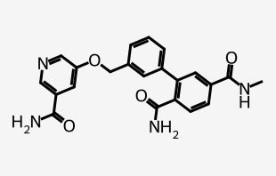 CNC(=O)c1ccc(C(N)=O)c(-c2cccc(COc3cncc(C(N)=O)c3)c2)c1